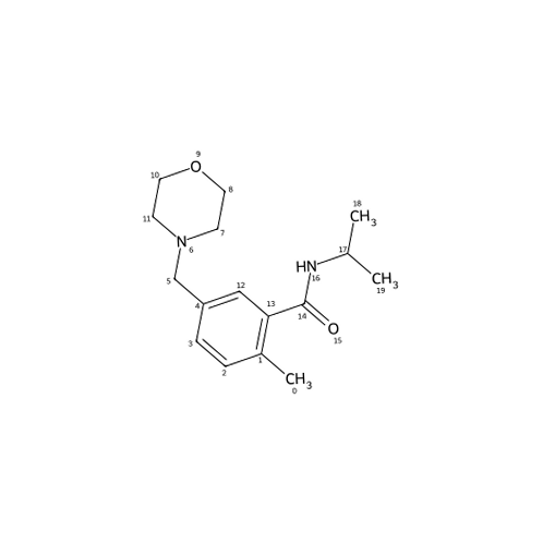 Cc1ccc(CN2CCOCC2)cc1C(=O)NC(C)C